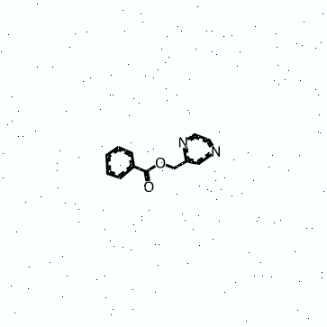 O=C(OCc1cnccn1)c1ccccc1